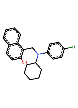 Oc1ccc2ccccc2c1CN(c1ccc(Cl)cc1)C1CCCCC1